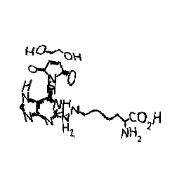 NCCCCC(N)C(=O)O.Nc1nc2nc[nH]c2c(=S)[nH]1.O=C1C=CC(=O)N1.OCCO